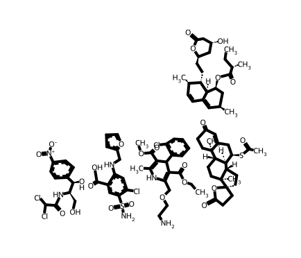 CC(=O)S[C@@H]1CC2=CC(=O)CC[C@]2(C)[C@H]2CC[C@@]3(C)[C@@H](CC[C@@]34CCC(=O)O4)[C@H]12.CCOC(=O)C1=C(COCCN)NC(C)=C(C(=O)OC)C1c1ccccc1Cl.CC[C@H](C)C(=O)O[C@H]1C[C@@H](C)C=C2C=C[C@H](C)[C@H](CC[C@@H]3C[C@@H](O)CC(=O)O3)[C@H]21.NS(=O)(=O)c1cc(C(=O)O)c(NCc2ccco2)cc1Cl.O=C(N[C@H](CO)[C@H](O)c1ccc([N+](=O)[O-])cc1)C(Cl)Cl